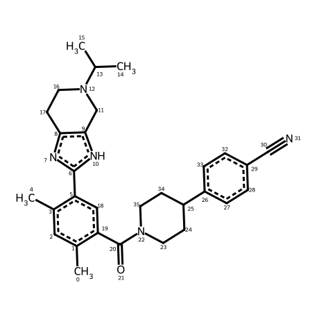 Cc1cc(C)c(-c2nc3c([nH]2)CN(C(C)C)CC3)cc1C(=O)N1CCC(c2ccc(C#N)cc2)CC1